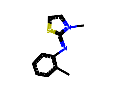 Cc1ccccc1N=c1sccn1C